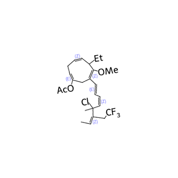 C/C=C(/CC(F)(F)F)C(C)(Cl)\C=C/C=C/C1=C(\OC)C(CC)/C=C\C/C=C(/OC(C)=O)C1